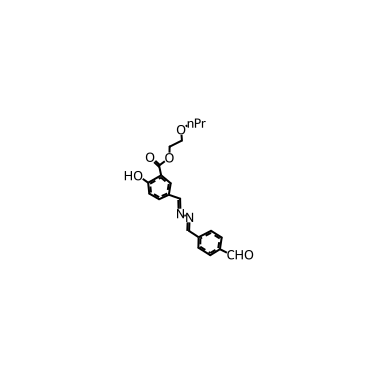 CCCOCCOC(=O)c1cc(/C=N/N=C/c2ccc(C=O)cc2)ccc1O